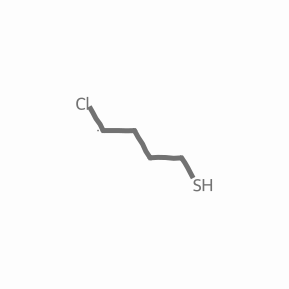 SCCC[CH]Cl